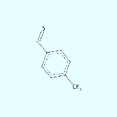 FC(F)(F)c1ccc([C]=S)cc1